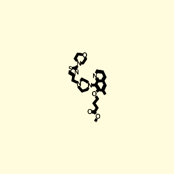 COC(=O)CCCOc1c(C)cc2cccnc2c1N1CCCN(Cc2csc(N3CCOCC3)n2)CC1